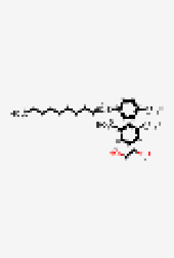 O=C(O)CCCCCCCCC(=O)O.O=C(O)c1ccc(C(=O)O)cc1.O=C(O)c1cccc(C(=O)O)c1.OCCO